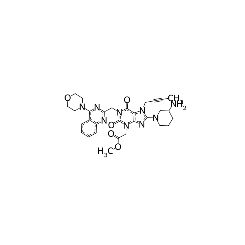 CC#CCn1c(N2CCCC(N)C2)nc2c1c(=O)n(Cc1nc(N3CCOCC3)c3ccccc3n1)c(=O)n2CC(=O)OC